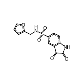 O=C1Nc2ccc(S(=O)(=O)NCc3ccco3)cc2C1=O